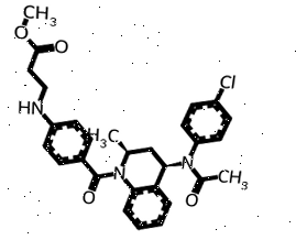 COC(=O)CCNc1ccc(C(=O)N2c3ccccc3[C@H](N(C(C)=O)c3ccc(Cl)cc3)C[C@@H]2C)cc1